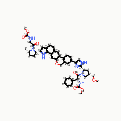 COC[C@H]1C[C@@H](c2nc(-c3ccc4c(c3)COc3cc5c(ccc6cc([C@@H]7CC[C@H](C)N7C(=O)CNC(=O)OC)[nH]c65)cc3-4)c[nH]2)N(C(=O)[C@H](NC(=O)OC)c2ccccc2)C1